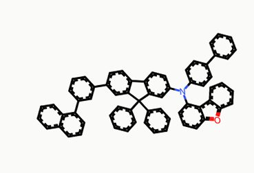 c1ccc(-c2ccc(N(c3ccc4c(c3)C(c3ccccc3)(c3ccccc3)c3cc(-c5cccc(-c6cccc7ccccc67)c5)ccc3-4)c3cccc4oc5ccccc5c34)cc2)cc1